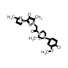 COc1cc(N2CCN(C(=O)Cn3nc(-n4ccc(C)n4)c(Cl)c3C)[C@@H](C)C2)ccc1Cl